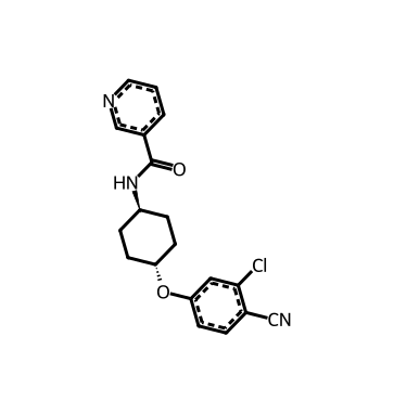 N#Cc1ccc(O[C@H]2CC[C@H](NC(=O)c3cccnc3)CC2)cc1Cl